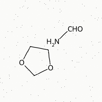 C1COCO1.NC=O